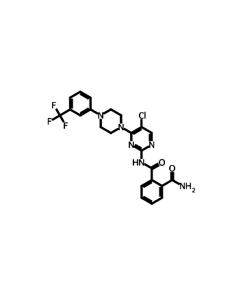 NC(=O)c1ccccc1C(=O)Nc1ncc(Cl)c(N2CCN(c3cccc(C(F)(F)F)c3)CC2)n1